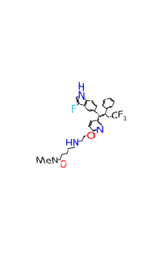 CNC(=O)CCCCNCCOc1ccc(C(=C(CC(F)(F)F)c2ccccc2)c2ccc3[nH]cc(F)c3c2)cn1